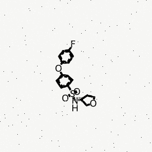 O=S(=O)(N[C@@H]1CCOC1)c1ccc(Oc2ccc(F)cc2)cc1